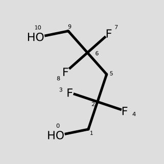 OCC(F)(F)CC(F)(F)CO